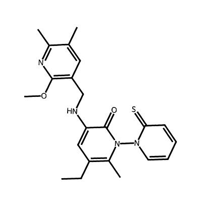 CCc1cc(NCc2cc(C)c(C)nc2OC)c(=O)n(-n2ccccc2=S)c1C